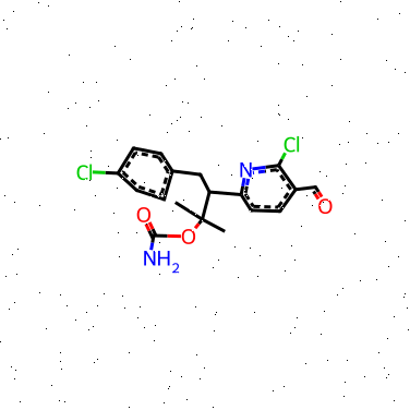 CC(C)(OC(N)=O)C(Cc1ccc(Cl)cc1)c1ccc(C=O)c(Cl)n1